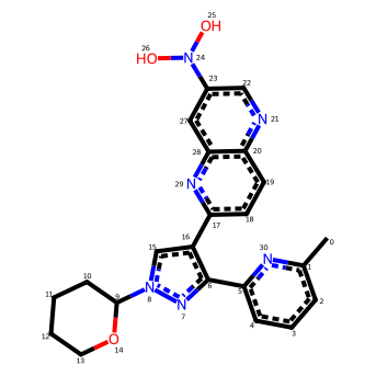 Cc1cccc(-c2nn(C3CCCCO3)cc2-c2ccc3ncc(N(O)O)cc3n2)n1